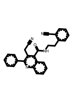 N#CCc1c(-c2ccccc2)nc2ccccc2c1C(=O)NCCc1ccccc1C#N